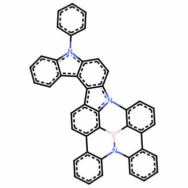 c1ccc(-n2c3ccccc3c3c4c5ccc6c7c5n(c4ccc32)-c2cccc3c2B7N(c2ccccc2-3)c2ccccc2-6)cc1